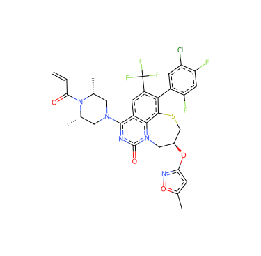 C=CC(=O)N1[C@H](C)CN(c2nc(=O)n3c4c(c(-c5cc(Cl)c(F)cc5F)c(C(F)(F)F)cc24)SC[C@@H](Oc2cc(C)on2)C3)C[C@@H]1C